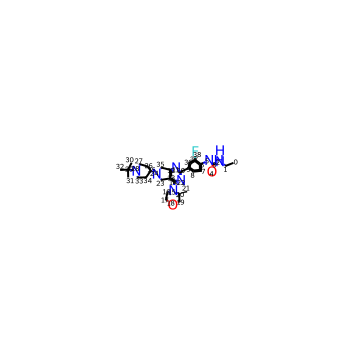 CCNC(=O)Nc1ccc(-c2nc3c(c(N4CCOC[C@@H]4C)n2)CN(C2CCN(C(C)(C)C)CC2)C3)cc1F